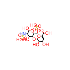 O=C(O)C1=C[C@H](O)[C@@H](O)[C@H](OC2[C@@H](COS(=O)(=O)O)OC(O)[C@H](NS(=O)(=O)O)[C@H]2O)O1